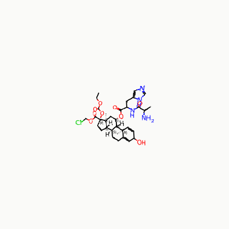 CCOC(=O)O[C@]1(C(=O)OCCl)CC[C@H]2[C@@H]3CCC4=CC(O)C=C[C@]4(C)[C@H]3[C@@H](OC(=O)C(Cc3cnc[nH]3)NC(=O)C(C)N)C[C@@]21C